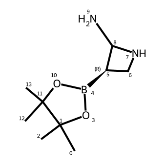 CC1(C)OB([C@@H]2CNC2N)OC1(C)C